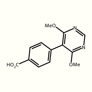 COc1ncnc(OC)c1-c1ccc(C(=O)O)cc1